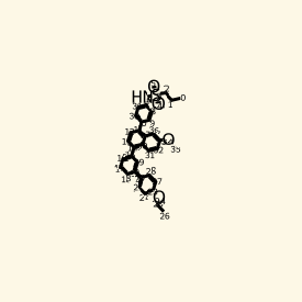 CCCS(=O)(=O)Nc1ccc(-c2ccc(-c3cccc(C4=CCC(OCC)C=C4)c3)c3ccc(OC)cc23)cc1